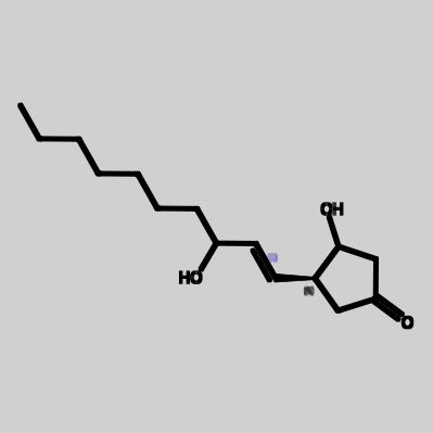 CCCCCCCC(O)/C=C/[C@@H]1CC(=O)CC1O